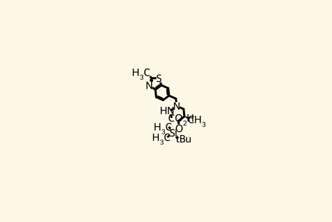 Cc1nc2ccc(CN(C[C@@H](C)CO[Si](C)(C)C(C)(C)C)NC(=O)O)cc2s1